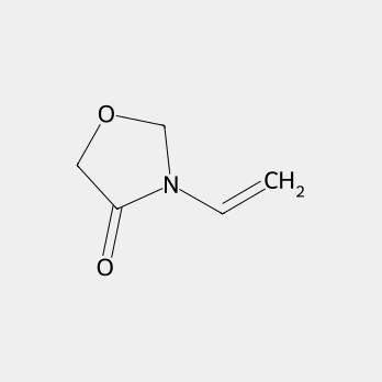 C=CN1COCC1=O